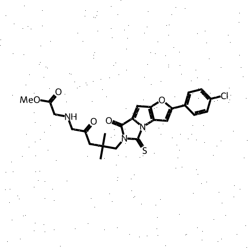 COC(=O)CNCC(=O)CC(C)(C)CN1C(=O)c2cc3oc(-c4ccc(Cl)cc4)cc3n2C1=S